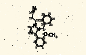 COc1ccccc1C1N=CN(CCC#N)N1Cc1ccccc1